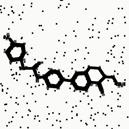 O=C(O)CC1CCc2cc(-c3ccc(NC(=O)Nc4ccc(C(F)(F)F)cc4)cc3)ccc2C1=O